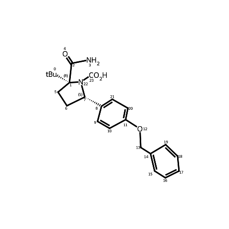 CC(C)(C)[C@@]1(C(N)=O)CC[C@@H](c2ccc(OCc3ccccc3)cc2)N1C(=O)O